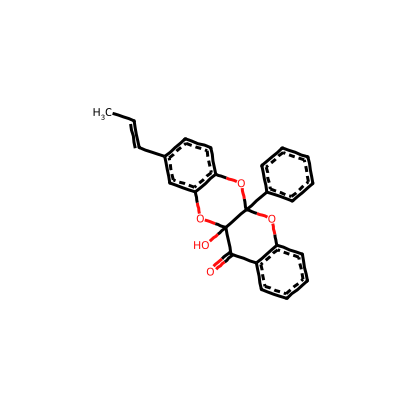 C/C=C/c1ccc2c(c1)OC1(O)C(=O)c3ccccc3OC1(c1ccccc1)O2